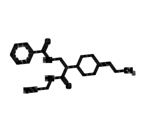 CCC=C1CCC(C(CNC(=O)c2ccccc2)C(=O)NCC#N)CC1